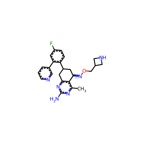 Cc1nc(N)nc2c1/C(=N/OCC1CNC1)CC(c1ccc(F)cc1-c1cccnc1)C2